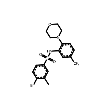 Cc1cc(S(=O)(=O)Nc2cc(C(F)(F)F)ccc2N2CCOCC2)ccc1Br